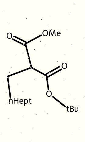 CCCCCCCCC(C(=O)OC)C(=O)OC(C)(C)C